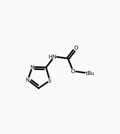 CC(C)(C)OC(=O)Nc1nncs1